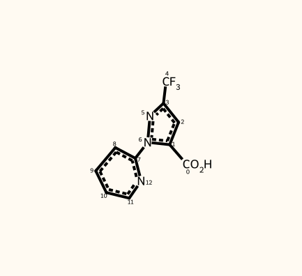 O=C(O)c1cc(C(F)(F)F)nn1-c1ccccn1